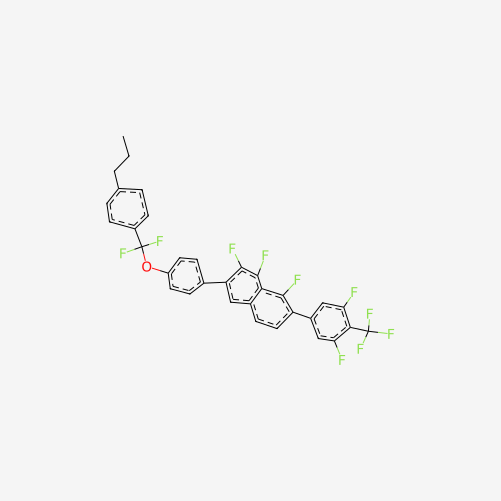 CCCc1ccc(C(F)(F)Oc2ccc(-c3cc4ccc(-c5cc(F)c(C(F)(F)F)c(F)c5)c(F)c4c(F)c3F)cc2)cc1